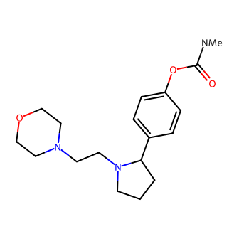 CNC(=O)Oc1ccc(C2CCCN2CCN2CCOCC2)cc1